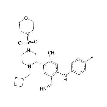 Cc1cc(Nc2ccc(F)cc2)c(C=N)cc1[C@H]1CN(S(=O)(=O)N2CCOCC2)CCN1CC1CCC1